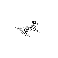 CCc1nonc1C(=O)N[C@H](C(=O)Nc1ccc([C@H](C)[C@@H](NC(=O)[C@@H](C)F)C(=O)N2CCN(C)CC2)cc1F)[C@H]1CC[C@H](C)CC1